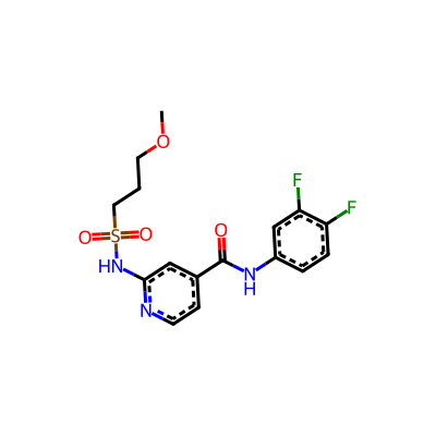 COCCCS(=O)(=O)Nc1cc(C(=O)Nc2ccc(F)c(F)c2)ccn1